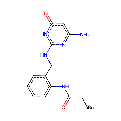 CCC(C)CC(=O)Nc1ccccc1CNc1nc(N)cc(=O)[nH]1